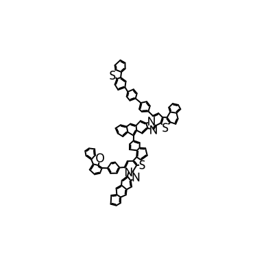 c1ccc2cc3cc4c(cc3cc2c1)nc1c2sc3ccc5cc(-c6c7ccccc7cc7cc8c(cc67)nc6c7sc9ccc%10ccccc%10c9c7cc(-c7ccc(-c9ccc(-c%10ccc%11sc%12ccccc%12c%11c%10)cc9)cc7)n86)ccc5c3c2cc(-c2ccc(-c3cccc5c3oc3ccccc35)cc2)n41